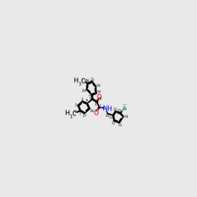 Cc1ccc(-c2c(C(=O)NCc3cccc(F)c3)oc3ccc(C)cc23)cc1